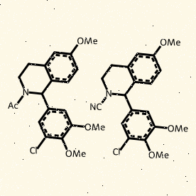 COc1ccc2c(c1)CCN(C#N)C2c1cc(Cl)c(OC)c(OC)c1.COc1ccc2c(c1)CCN(C(C)=O)C2c1cc(Cl)c(OC)c(OC)c1